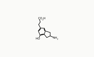 NC1Cc2cc(CCC(=O)O)cc(O)c2C1